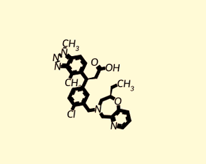 CC[C@@H]1CN(Cc2cc([C@H](CC(=O)O)c3ccc4c(nnn4C)c3C)ccc2Cl)Cc2ncccc2O1